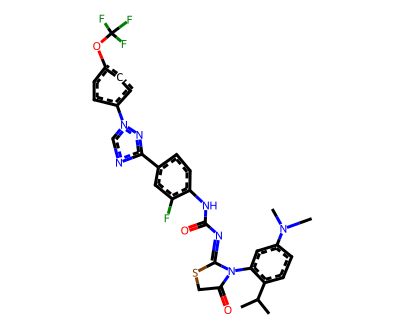 CC(C)c1ccc(N(C)C)cc1N1C(=O)CS/C1=N\C(=O)Nc1ccc(-c2ncn(-c3ccc(OC(F)(F)F)cc3)n2)cc1F